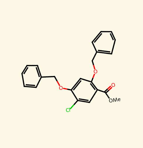 COC(=O)c1cc(Cl)c(OCc2ccccc2)cc1OCc1ccccc1